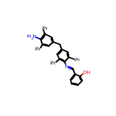 CC(C)c1cc(Cc2cc(C(C)C)c(/N=C/c3ccccc3O)c(C(C)C)c2)cc(C(C)C)c1N